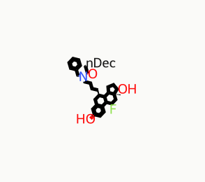 CCCCCCCCCCCC(=O)N(CCCC[C@@H]1Cc2cc(O)ccc2C2C1C1CC[C@H](O)[C@@]1(C)C[C@@H]2F)Cc1ccccc1